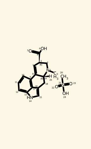 CN1C[C@H](C(=O)O)C=C2c3cccc4[nH]cc(c34)C[C@H]21.CS(=O)(=O)O